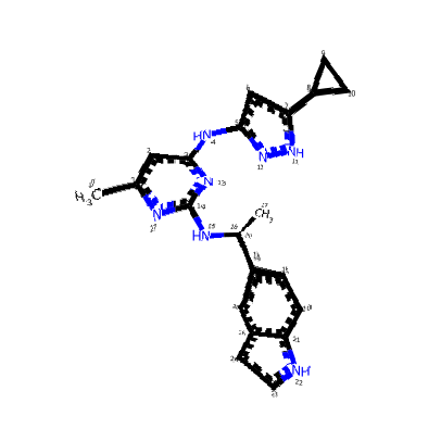 Cc1cc(Nc2cc(C3CC3)[nH]n2)nc(N[C@@H](C)c2ccc3[nH]ccc3c2)n1